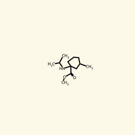 COC(=O)C1(NC(C)C)CCCC(C)C1